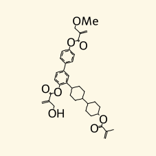 C=C(C)C(=O)OC1CCC(C2CCC(c3cc(-c4ccc(OC(=O)C(=C)COC)cc4)ccc3OC(=O)C(=C)CO)CC2)CC1